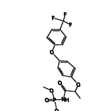 COP(=O)(NC(=O)C(C)Oc1ccc(Oc2ccc(C(F)(F)F)cc2)cc1)OC